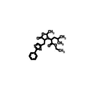 CCOC(=O)C(CC(C)C)N1C(C)OC(=O)C1Cc1csc(-c2ccccc2)n1